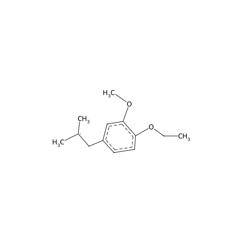 CCOc1ccc(C[C](C)C)cc1OC